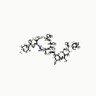 C/C(=C\c1cc(F)cc(N(C)C2CCN(C(=O)c3cnco3)CC2)c1)[C@H]1C(=O)C(=O)C[C@H](O)CC[C@H](C)[C@@H](OC(=O)N2CCN(C)CC2)/C=C/[C@@H]1C